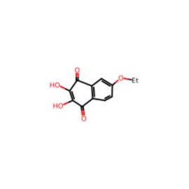 CCOc1ccc2c(c1)C(=O)C(O)=C(O)C2=O